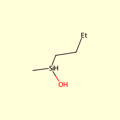 CCCC[SiH](C)O